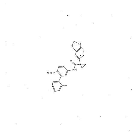 COc1ccc(NC(=O)C2(c3ccc4c(c3)OCO4)CC2)cc1-c1ccccc1C